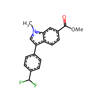 COC(=O)c1ccc2c(-c3ccc(C(F)F)cc3)cn(C)c2c1